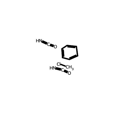 CCl.N=C=O.N=C=O.c1ccccc1